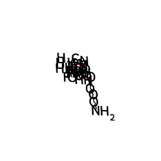 Cc1cc2ncn([C@H]3O[C@H](COC(=O)NCCCOCCOCCOCCCN)C(O[PH](=O)OC(C)CNC(=O)CF)C3O)c2cc1C